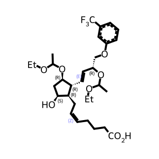 CCOC(C)O[C@H](/C=C/[C@@H]1[C@@H](C/C=C\CCCC(=O)O)[C@@H](O)C[C@H]1OC(C)OCC)COc1cccc(C(F)(F)F)c1